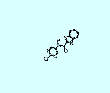 O=C(Nc1cnc(Cl)nc1)c1nc2ccccc2s1